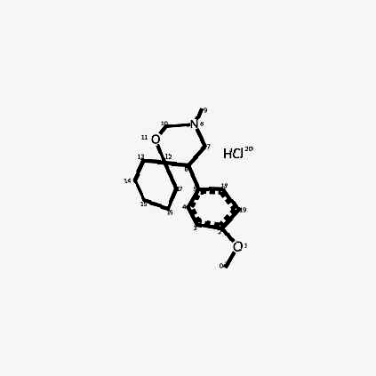 COc1ccc(C2CN(C)COC23CCCCC3)cc1.Cl